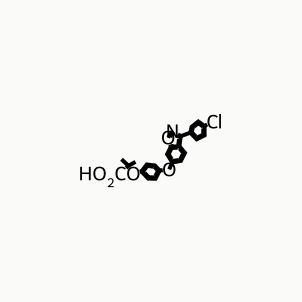 CC(C)(Oc1ccc(Oc2ccc3c(-c4ccc(Cl)cc4)noc3c2)cc1)C(=O)O